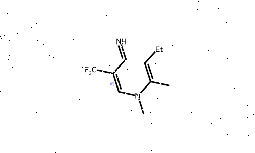 CCC=C(C)N(C)/C=C(\C=N)C(F)(F)F